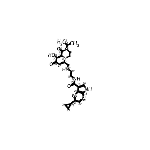 CC(C)N1CCn2c(CNCCNC(=O)c3c[nH]c4ncc(C5CC5)nc34)cc(=O)c(O)c2C1=O